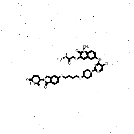 CNC(=O)COc1cc2cc(Nc3nc(N4CCC(OCCCCOc5ccc6c(c5)CN(C5CCC(=O)NC5=O)C6=O)CC4)ncc3Cl)ccc2n(C)c1=O